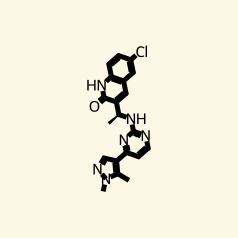 Cc1c(-c2ccnc(N[C@@H](C)c3cc4cc(Cl)ccc4[nH]c3=O)n2)cnn1C